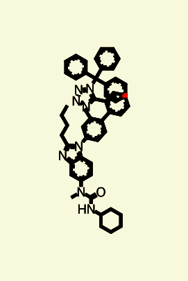 CCCCc1nc2cc(N(C)C(=O)NC3CCCCC3)ccc2n1-c1ccc(-c2ccccc2-c2nnnn2C(c2ccccc2)(c2ccccc2)c2ccccc2)c(C)c1